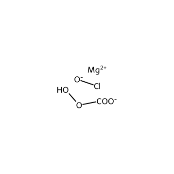 O=C([O-])OO.[Mg+2].[O-]Cl